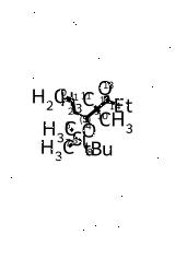 C=CC[C@H](O[Si](C)(C)C(C)(C)C)C(C)(C)C(=O)CC